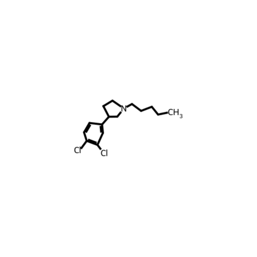 CCCCCN1CCC(c2ccc(Cl)c(Cl)c2)C1